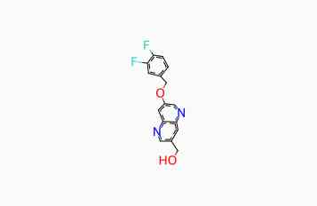 OCc1cnc2cc(OCc3ccc(F)c(F)c3)cnc2c1